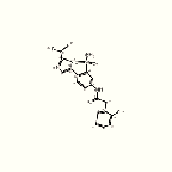 NS(=O)(=O)c1cc(NC(=O)Cc2ccccc2Cl)ccc1-c1cnc(C(F)F)s1